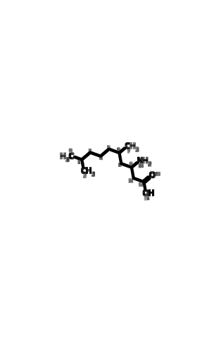 CC(C)CCCC(C)CC(N)CC(=O)O